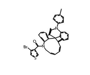 C=C1/C=C\C=C/CN(C(=O)c2cscc2Br)C2=CCC=CC=C2C12c1ccccc1N(c1ccc(C)cc1)c1ccccc12